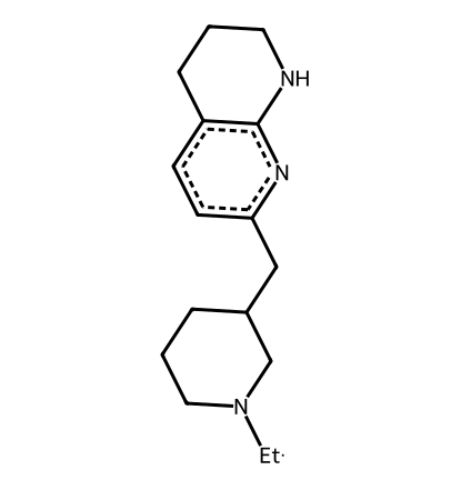 C[CH]N1CCCC(Cc2ccc3c(n2)NCCC3)C1